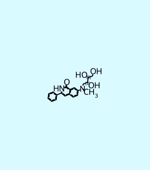 CN(C[C@H](O)[C@H](O)CO)c1ccc2cc(-c3ccccc3)[nH]c(=O)c2c1